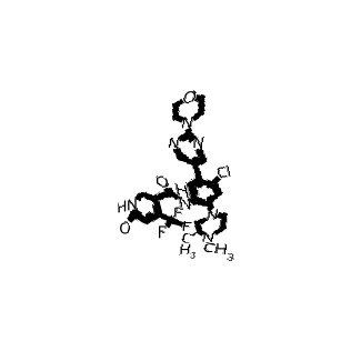 C[C@@H]1CN(c2cc(Cl)c(-c3cnc(N4CCOCC4)nc3)cc2NC(=O)c2c[nH]c(=O)cc2C(F)(F)F)CCN1C